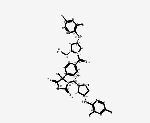 Cc1cnc(N[C@@H]2CN[C@H]([C@@H](O)N3C(=O)NC(=O)C3(C)c3ccc(C(=O)N4C[C@@H](Nc5ncc(C)cc5C)C[C@H]4CO)cc3)C2)c(C)c1